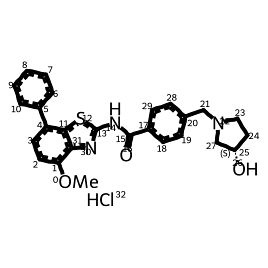 COc1ccc(-c2ccccc2)c2sc(NC(=O)c3ccc(CN4CC[C@H](O)C4)cc3)nc12.Cl